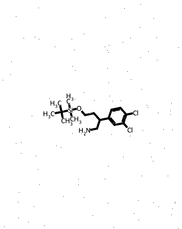 CC(C)(C)[Si](C)(C)OCCC(CN)c1ccc(Cl)c(Cl)c1